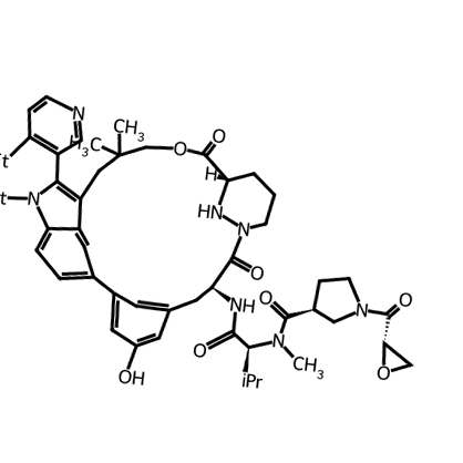 CCc1ccncc1-c1c2c3cc(ccc3n1CC)-c1cc(O)cc(c1)C[C@H](NC(=O)[C@H](C(C)C)N(C)C(=O)[C@H]1CCN(C(=O)[C@@H]3CO3)C1)C(=O)N1CCC[C@H](N1)C(=O)OCC(C)(C)C2